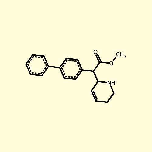 COC(=O)C(c1ccc(-c2ccccc2)cc1)C1C=CCCN1